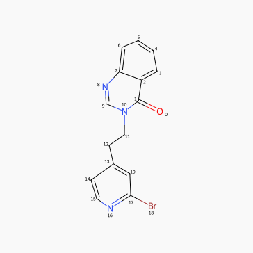 O=c1c2ccccc2ncn1CCc1ccnc(Br)c1